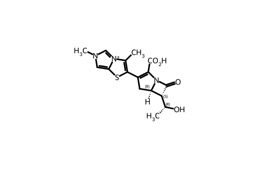 Cc1c(C2=C(C(=O)O)N3C(=O)[C@H]([C@@H](C)O)[C@H]3C2)sc2cn(C)c[n+]12